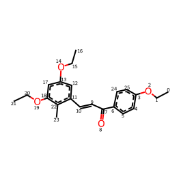 CCOc1ccc(C(=O)/C=C/c2cc(OCC)cc(OCC)c2C)cc1